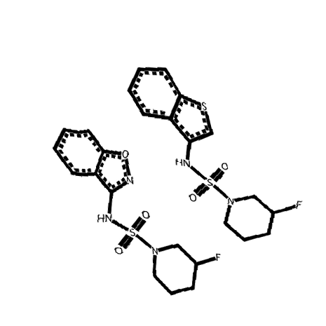 O=S(=O)(Nc1csc2ccccc12)N1CCCC(F)C1.O=S(=O)(Nc1noc2ccccc12)N1CCCC(F)C1